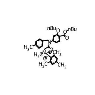 CCCCOC(=O)c1ccc(N(Cc2ccc(C)cc2)C(=O)CN(C)S(=O)(=O)c2c(C)cc(C)cc2C)cc1OCCCC